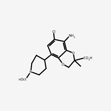 CCCCCCCCN1CCC(c2cc(Cl)c(N)c3c2OCC(C)(C(=O)O)O3)CC1